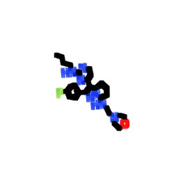 CCCCNc1nccc(-c2c(-c3ccc(F)cc3)nn3c(NCCN4CCOCC4)cccc23)n1